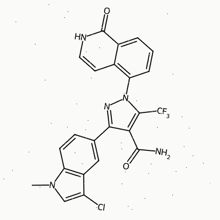 Cn1cc(Cl)c2cc(-c3nn(-c4cccc5c(=O)[nH]ccc45)c(C(F)(F)F)c3C(N)=O)ccc21